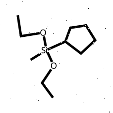 CCO[Si](C)(OCC)C1CCCC1